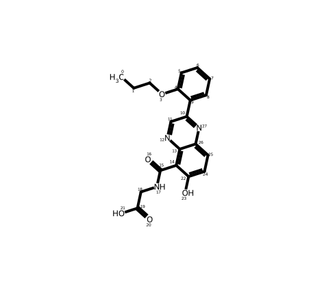 CCCOc1ccccc1-c1cnc2c(C(=O)NCC(=O)O)c(O)ccc2n1